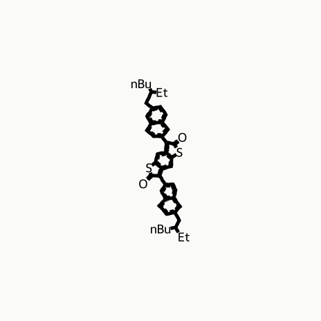 CCCCC(CC)Cc1ccc2cc(C3=c4cc5c(cc4SC3=O)=C(c3ccc4cc(CC(CC)CCCC)ccc4c3)C(=O)S5)ccc2c1